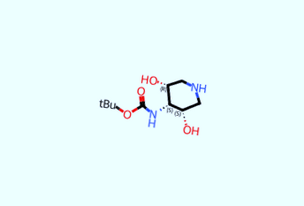 CC(C)(C)OC(=O)N[C@@H]1[C@H](O)CNC[C@@H]1O